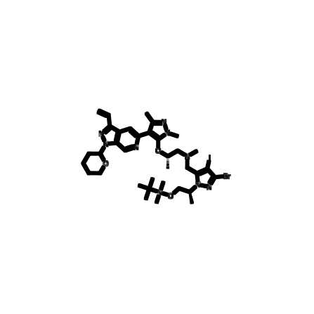 C=Cc1nn(C2CCCCO2)c2cnc(-c3c(C)nn(C)c3O[C@@H](C)CN(C)Cc3c(I)c(Br)nn3[C@@H](C)CO[Si](C)(C)C(C)(C)C)cc12